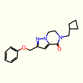 O=C1c2cc(COc3ccccc3)nn2CCN1CC1CCC1